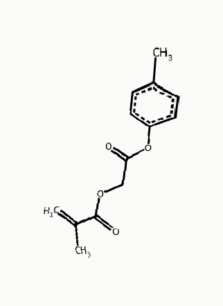 C=C(C)C(=O)OCC(=O)Oc1ccc(C)cc1